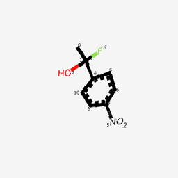 CC(O)(F)c1ccc([N+](=O)[O-])cc1